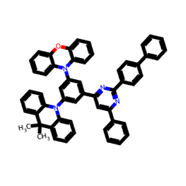 CC1(C)c2ccccc2N(c2cc(-c3cc(-c4ccccc4)nc(-c4ccc(-c5ccccc5)cc4)n3)cc(N3c4ccccc4Oc4ccccc43)c2)c2ccccc21